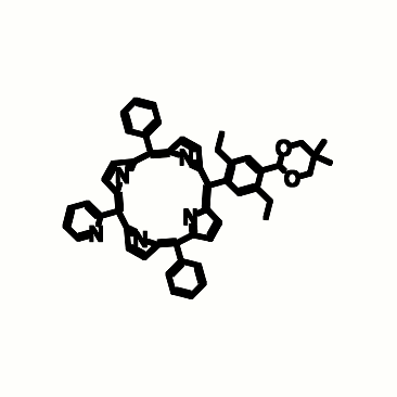 CCc1cc(C2OCC(C)(C)CO2)c(CC)cc1C1=C2C=CC(=N2)C(c2ccccc2)=C2C=CC(=N2)C(c2ccccn2)=C2C=CC(=N2)C(c2ccccc2)=C2C=CC1=N2